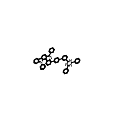 c1ccc(-c2nc(-c3ccccc3)nc(-c3cccc(-c4ccc(-c5cccc6c5nc(-c5ccccc5)c5ccc7c8ccccc8n(-c8ccccc8)c7c56)cc4)c3)n2)cc1